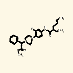 CCCCC(CC)C(=O)Nc1ccc(N2CCN(C(C(=O)OC)c3ccccc3)CC2)c(F)c1